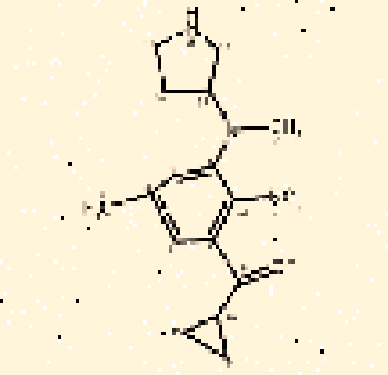 CN(c1cc(C(F)(F)F)cc(C(=O)C2CC2)c1[N+](=O)[O-])C1CCNC1